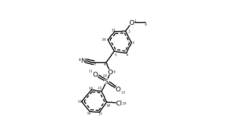 COc1ccc(C(C#N)OS(=O)(=O)c2ccccc2Cl)cc1